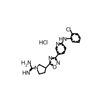 Cl.N=C(N)N1CCC(c2nc(-c3ccc(Nc4ccccc4Cl)nc3)no2)C1